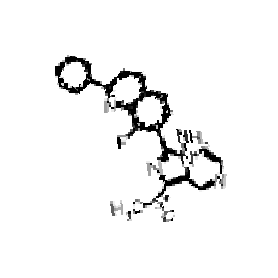 C[S+]([O-])C1=C2C=NC=C[N+]2(N)C(c2ccc3ccc(-c4ccccc4)nc3c2F)=N1